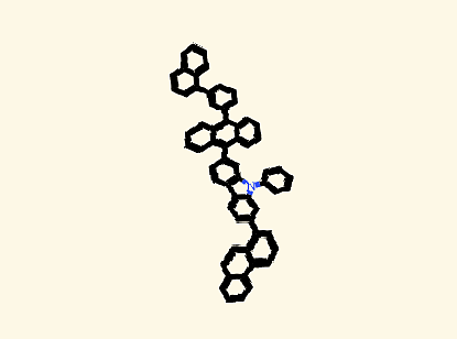 c1ccc(-n2c3cc(-c4c5ccccc5c(-c5cccc(-c6cccc7ccccc67)c5)c5ccccc45)ccc3c3ccc(-c4cccc5c4ccc4ccccc45)cc32)cc1